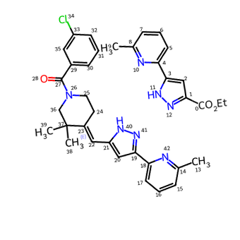 CCOC(=O)c1cc(-c2cccc(C)n2)[nH]n1.Cc1cccc(-c2cc(/C=C3\CCN(C(=O)c4cccc(Cl)c4)CC3(C)C)[nH]n2)n1